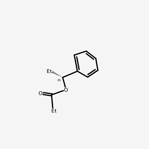 CCC(=O)O[C@H](CC)c1ccccc1